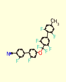 Cc1cc(F)c(-c2cc(F)c(C(F)(F)Oc3ccc(-c4ccc(C#N)c(F)c4)c(F)c3)c(F)c2)c(F)c1